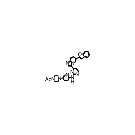 CC(=O)N1CCN(c2ccc(Nc3nccc(-c4cnc5ccc(-c6cc7ccccc7o6)cn45)n3)nc2)CC1